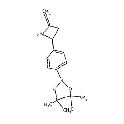 C=C1CC(c2ccc(B3OC(C)(C)C(C)(C)O3)cc2)N1